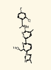 Cc1cn(-c2ccc(-c3cc(C)c(N[C@@H](C)c4ccc(F)cc4Cl)nn3)nc2CO)cn1